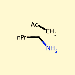 CC(C)=O.CCCCN